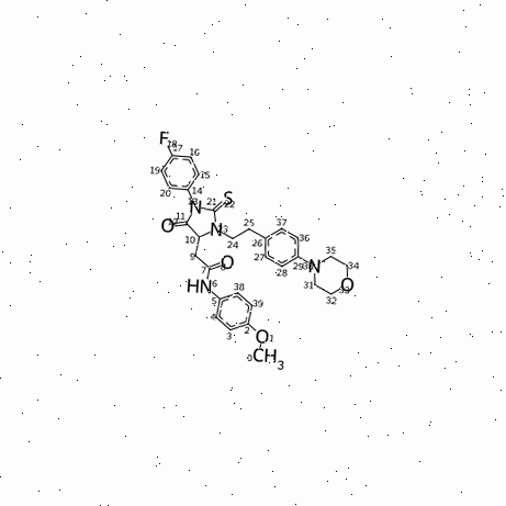 COc1ccc(NC(=O)CC2C(=O)N(c3ccc(F)cc3)C(=S)N2CCc2ccc(N3CCOCC3)cc2)cc1